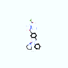 O=C(NNC(=O)C(F)(F)F)c1ccc(CN(C(=O)N2CCCCC2)c2ccccc2)cc1